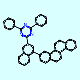 c1ccc(-c2nc(-c3ccccc3)nc(-c3cc(-c4ccc5ccc6c7ccccc7ccc6c5c4)c4ccccc4c3)n2)cc1